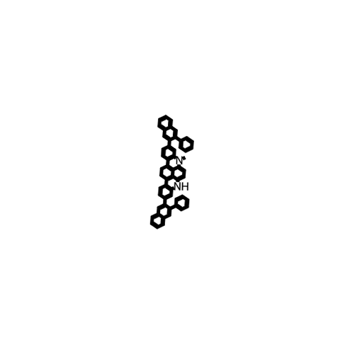 CN1c2cc(-c3cc4ccccc4cc3-c3ccccc3)ccc2C2=c3c1ccc1c3=C(CC2)c2ccc(-c3cc4ccccc4cc3-c3ccccc3)cc2N1